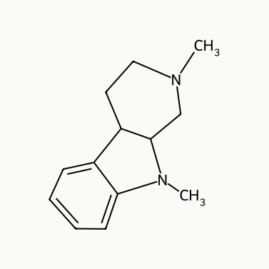 CN1CCC2c3ccccc3N(C)C2C1